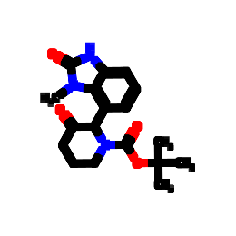 Cn1c(=O)[nH]c2cccc(C3C(=O)CCCN3C(=O)OC(C)(C)C)c21